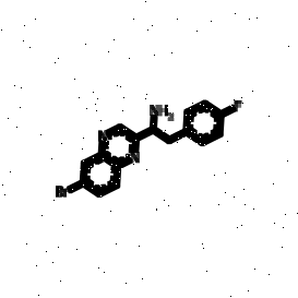 NC(Cc1ccc(F)cc1)c1cnc2cc(Br)ccc2n1